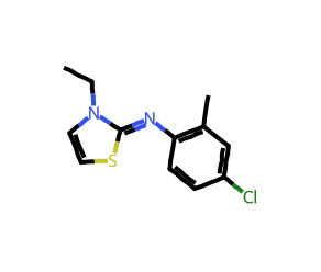 CCn1ccsc1=Nc1ccc(Cl)cc1C